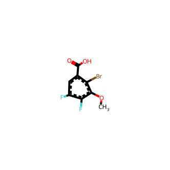 COc1c(F)c(F)cc(C(=O)O)c1Br